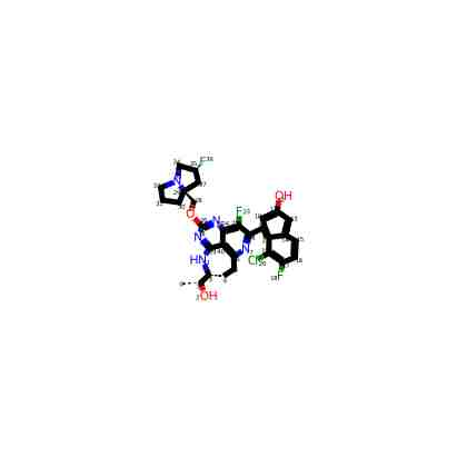 C[C@@H](O)[C@H]1CCc2nc(-c3cc(O)cc4ccc(F)c(Cl)c34)c(F)c3nc(OC[C@@]45CCCN4C[C@H](F)C5)nc(c23)N1